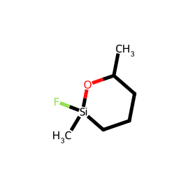 CC1CCC[Si](C)(F)O1